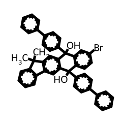 CC1(C)c2ccccc2-c2cc3c(cc21)C(O)(c1ccc(-c2ccccc2)cc1)c1cc(Br)ccc1C3(O)c1ccc(-c2ccccc2)cc1